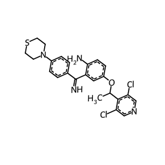 CC(Oc1ccc(N)c(C(=N)c2ccc(N3CCSCC3)cc2)c1)c1c(Cl)cncc1Cl